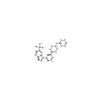 FC(F)(F)c1cn2c(-c3nccc(N4CCC(CN5CCOCC5)CC4)n3)cnc2cn1